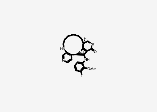 COc1c(F)cccc1Nc1c2[nH]c3c1C(=O)NC[C@@H]3CCCCCCNc1cnccc1-2